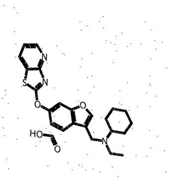 CCN(Cc1coc2cc(Oc3nc4ncccc4s3)ccc12)C1CCCCC1.O=CO